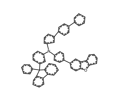 c1ccc(-c2ccc(-c3cccc(N(c4ccc(-c5ccc6oc7ccccc7c6c5)cc4)c4cccc(C5(c6ccccc6)c6ccccc6-c6ccccc65)c4)c3)cc2)cc1